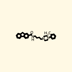 Cc1ccccc1N1CCN(CCCCNC(=O)c2ccc3c(c2)Cc2ccccc2-3)CC1